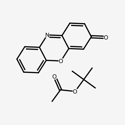 CC(=O)OC(C)(C)C.O=c1ccc2nc3ccccc3oc-2c1